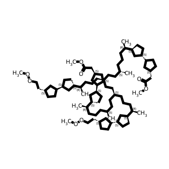 COOCC[C@H]1CCC([C@H]2CC[C@H]([C@H](C)CCC[C@@H](CC[C@@H](C)CCC[C@@H](C)[C@H]3CC[C@H](C4CC[C@H](CC(=O)OC)C4)C3)CC[C@@H](CCC[C@@H](C)[C@H]3CC[C@H](C4CC[C@H](CCOOC)C4)C3)CC[C@@H](C)CCC[C@@H](C)[C@H]3CC[C@H](C4CC[C@H](CC(=O)OC)C4)C3)C2)C1